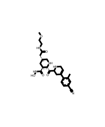 COCCNC(=O)C[C@@H]1CN[C@H](C(=O)C2CC(c3ccc(C#N)cc3C)=CCN2)[C@@H](C(=O)NO)C1